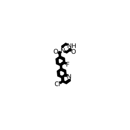 O=C1CN(C(=O)c2ccc(-c3ccc4c(Cl)ccnc4c3)c(F)c2)CCN1